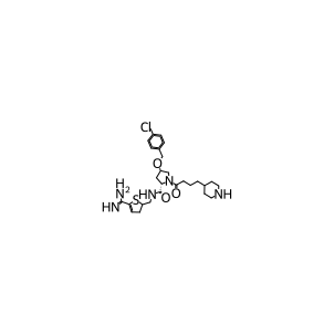 N=C(N)C1=CCC(CNC(=O)[C@@H]2C[C@@H](OCc3ccc(Cl)cc3)CN2C(=O)CCCC2CCNCC2)S1